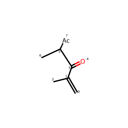 C=C(C)C(=O)C(C)C(C)=O